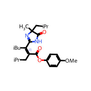 CCC(C)/C(C1=NC(C)(CC(C)C)C(=O)N1)=C(\CC(C)C)C(=O)Oc1ccc(OC)cc1